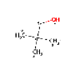 [CH2]C([CH2])([CH2])[CH]O